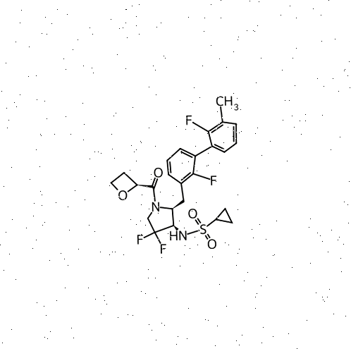 Cc1cccc(-c2cccc(C[C@H]3[C@@H](NS(=O)(=O)C4CC4)C(F)(F)CN3C(=O)[C@@H]3CCO3)c2F)c1F